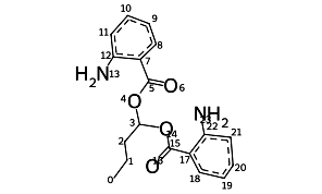 CCCC(OC(=O)c1ccccc1N)OC(=O)c1ccccc1N